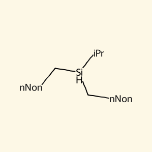 CCCCCCCCCC[SiH](CCCCCCCCCC)C(C)C